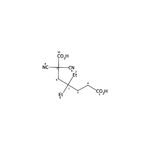 CCC(CC)(CCC(=O)O)CC(C#N)(C#N)C(=O)O